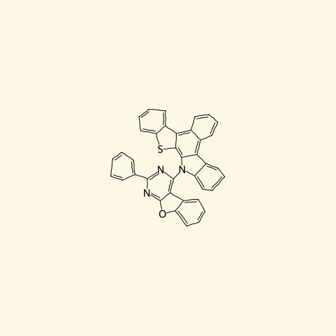 c1ccc(-c2nc(-n3c4ccccc4c4c5ccccc5c5c6ccccc6sc5c43)c3c(n2)oc2ccccc23)cc1